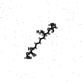 CC(C)(C)OC(=O)NCCCCC[C@@H](N)CO[Si](C)(C)C(C)(C)C